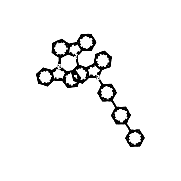 c1ccc(-c2ccc(-c3ccc(-n4c5ccccc5c5c(-n6c7ccccc7c7cccc(-n8c9ccccc9c9ccccc98)c76)cccc54)cc3)cc2)cc1